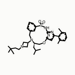 Cc1cccc(C)c1-c1cc2nc(n1)NS(=O)(=O)c1cccc(c1)CN(C1CN(CCC(C)(C)C)C1)[C@H](CC(C)C)CO2